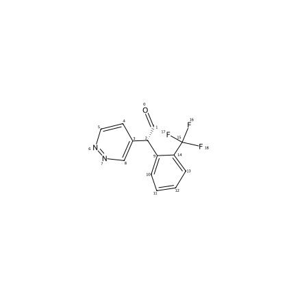 O=[C][C@@H](c1ccnnc1)c1ccccc1C(F)(F)F